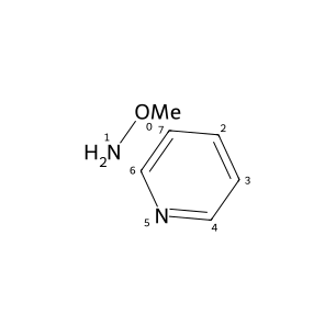 CON.c1ccncc1